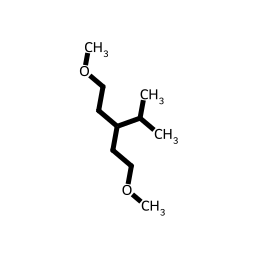 COCCC(CCOC)C(C)C